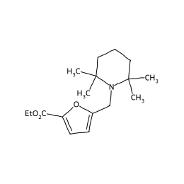 CCOC(=O)c1ccc(CN2C(C)(C)CCCC2(C)C)o1